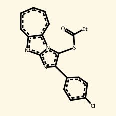 CCC(=O)Sc1c(-c2ccc(Cl)cc2)nc2nc3cccccc3n12